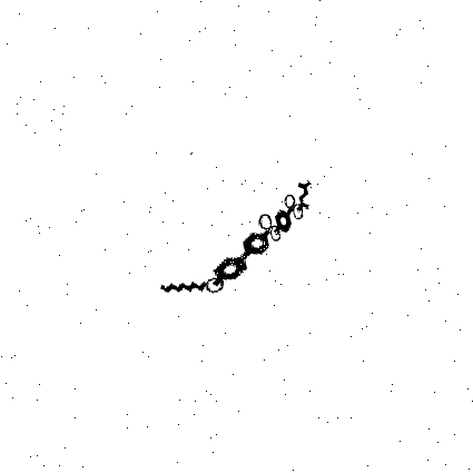 CCCCCCCCCOc1ccc(-c2ccc(C(=O)Oc3ccc(C(=O)OC(C)CCC(C)C)cc3)cc2)cc1